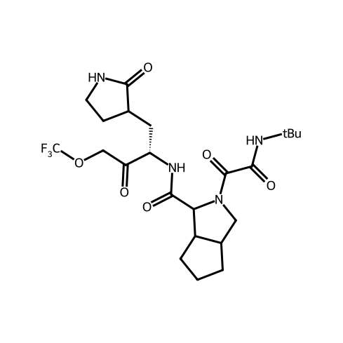 CC(C)(C)NC(=O)C(=O)N1CC2CCCC2C1C(=O)N[C@@H](CC1CCNC1=O)C(=O)COC(F)(F)F